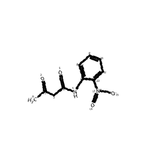 CC(=O)CC(=O)Nc1ccccc1[N+](=O)[O-]